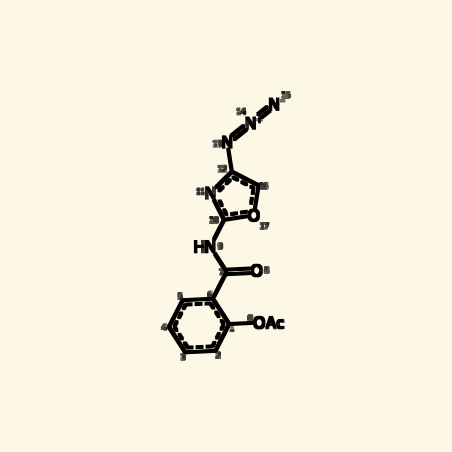 CC(=O)Oc1ccccc1C(=O)Nc1nc(N=[N+]=[N-])co1